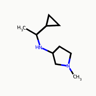 CC(NC1CCN(C)C1)C1CC1